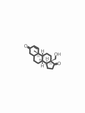 C[C@]12C=CC(=O)CC1CC[C@@H]1[C@H]2CC[C@]2(CO)C(=O)CC[C@@H]12